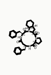 O=C1C[C@H](Cc2ccccc2)NC(=O)[C@@H]2CCCN2C(=O)[C@@H]2C[C@@H]3CCCC[C@@H]3N2C(=O)[C@H](Cc2ccccc2)N1